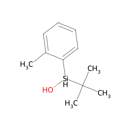 Cc1ccccc1[SiH](O)C(C)(C)C